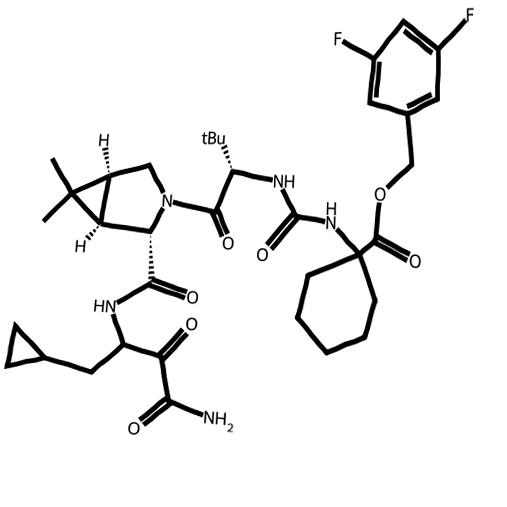 CC(C)(C)[C@H](NC(=O)NC1(C(=O)OCc2cc(F)cc(F)c2)CCCCC1)C(=O)N1C[C@H]2[C@@H]([C@H]1C(=O)NC(CC1CC1)C(=O)C(N)=O)C2(C)C